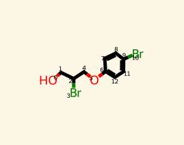 OCC(Br)COc1ccc(Br)cc1